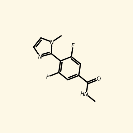 CNC(=O)c1cc(F)c(-c2nccn2C)c(F)c1